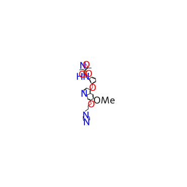 COc1cc2c(Oc3cccc(NS(=O)(=O)c4c(C)noc4C)c3)ccnc2cc1OCCCN1CCN(C)CC1